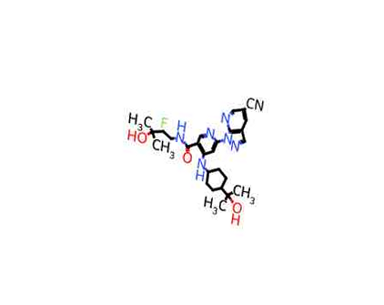 CC(C)(O)C1CCC(Nc2cc(-n3ncc4cc(C#N)cnc43)ncc2C(=O)NC[C@@H](F)C(C)(C)O)CC1